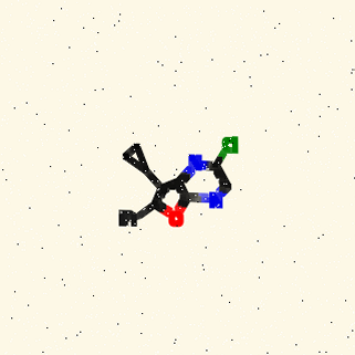 CC(C)c1oc2ncc(Cl)nc2c1C1CC1